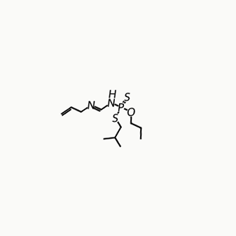 C=CCN=CNP(=S)(OCCC)SCC(C)C